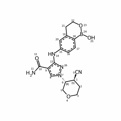 N#C[C@H]1CCOC[C@@H]1n1cc(C(N)=O)c(Nc2ccc3c(c2)CCOB3O)n1